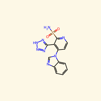 NS(=O)(=O)c1nccc(-n2cnc3ccccc32)c1-c1nn[nH]n1